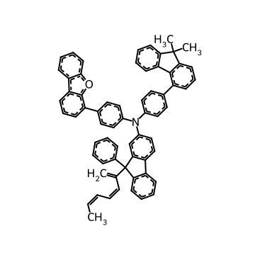 C=C(/C=C\C=C/C)C1(c2ccccc2)c2ccccc2-c2ccc(N(c3ccc(-c4cccc5c4-c4ccccc4C5(C)C)cc3)c3ccc(-c4cccc5c4oc4ccccc45)cc3)cc21